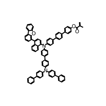 C=C(C)C(=O)Oc1ccc(-c2ccc(-c3ccc(N(c4ccc(-c5ccc(N(c6ccc(-c7ccccc7)cc6)c6ccc(-c7ccccc7)cc6)cc5)cc4)c4ccc(-c5cccc6c5oc5ccccc56)c5ccccc45)cc3)cc2)cc1